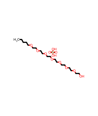 CCCCCOCCOCCOCCOCCOCCOCCOCCO.O=S(=O)(O)O